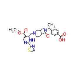 CCOC(=O)C1=C(CN2CCC3C(=O)N(C(C)c4ccc(C(=O)O)cc4)CC3C2)NC(c2nccs2)=NC1